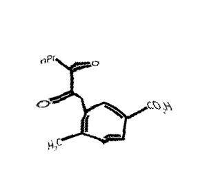 CCCC(=O)C(=O)c1cc(C(=O)O)ccc1C